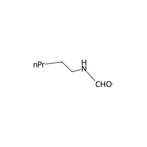 CCCCCN[C]=O